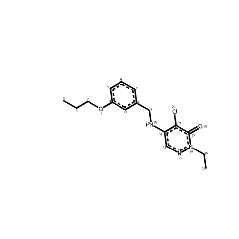 CCCOc1cccc(CNc2cnn(CC)c(=O)c2Cl)c1